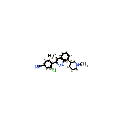 Cc1c(-c2ccc(C#N)cc2Cl)nnc2c([C@@H]3CCCN(C)C3)cccc12